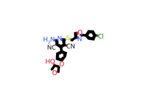 N#Cc1c(N)nc(SCc2coc(-c3ccc(Cl)cc3)n2)c(C#N)c1-c1ccc(OC2COCC2O)cc1